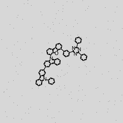 c1ccc(-c2nc(-c3ccccc3)nc(-c3cccc(-c4cccc5c4oc4c(-n6c7ccccc7c7cc(-c8ccc9c%10ccccc%10n(-c%10ccccc%10)c9c8)ccc76)cccc45)c3)n2)cc1